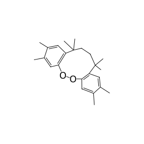 Cc1cc2c(cc1C)C(C)(C)CCC(C)(C)c1cc(C)c(C)cc1OO2